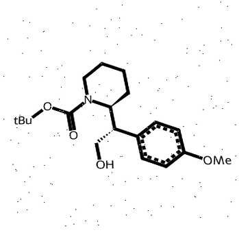 COc1ccc([C@H](CO)[C@@H]2CCCCN2C(=O)OC(C)(C)C)cc1